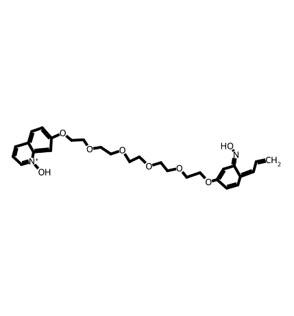 C=C/C=C1/C=CC(OCCOCCOCCOCCOCCOc2ccc3ccc[n+](O)c3c2)=C/C1=N\O